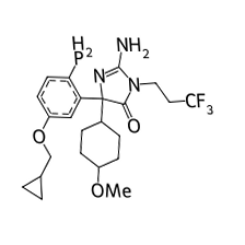 COC1CCC(C2(c3cc(OCC4CC4)ccc3P)N=C(N)N(CCC(F)(F)F)C2=O)CC1